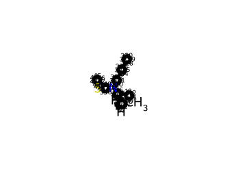 C[C@@H]1C[C@H]2CC[C@@H](C2)[C@@]12c1ccccc1-c1cc(N(c3ccc(-c4ccc(-c5ccccc5)cc4)cc3)c3ccc4sc5ccccc5c4c3)ccc12